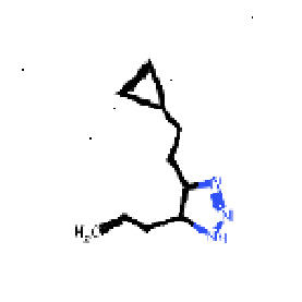 C=CCC1NN=NC1CCC1CC1